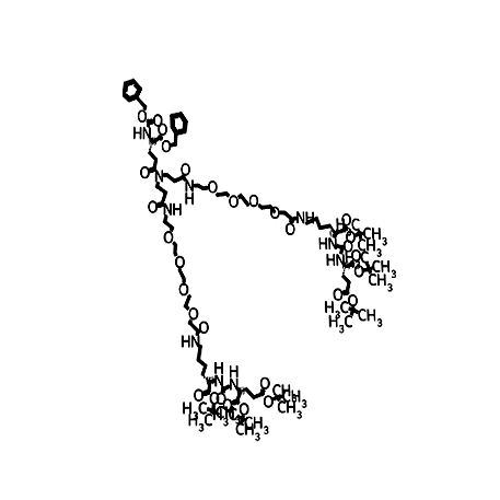 CC(C)(C)OC(=O)CC[C@H](NC(=O)N[C@@H](CCCCNC(=O)COCCOCCOCCOCCNC(=O)CCN(CCC(=O)NCCOCCOCCOCCOCC(=O)NCCCC[C@H](NC(=O)N[C@@H](CCC(=O)OC(C)(C)C)C(=O)OC(C)(C)C)C(=O)OC(C)(C)C)C(=O)CC[C@H](NC(=O)OCc1ccccc1)C(=O)OCc1ccccc1)C(=O)OC(C)(C)C)C(=O)OC(C)(C)C